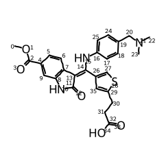 COC(=O)c1ccc2c(c1)NC(=O)C2=C(Nc1ccc(CN(C)C)cc1)c1csc(CCC(=O)O)c1